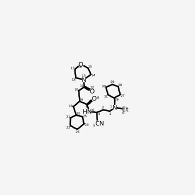 CCN(CCC(C#N)NC(=O)C(CC(=O)N1CCOCC1)CC1CCCCC1)C1CCCCC1